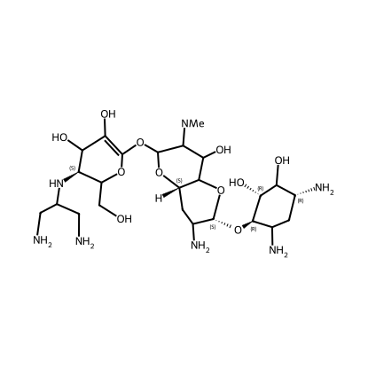 CNC1C(OC2=C(O)C(O)[C@H](NC(CN)CN)C(CO)O2)O[C@H]2CC(N)[C@@H](O[C@@H]3C(N)C[C@@H](N)C(O)[C@H]3O)OC2C1O